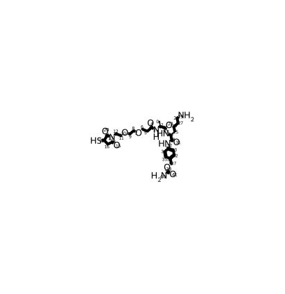 C[C@H](NC(=O)CCOCCOCCN1C(=O)CC(S)C1=O)C(=O)N[C@@H](CCCCN)C(=O)Nc1ccc(COC(N)=O)cc1